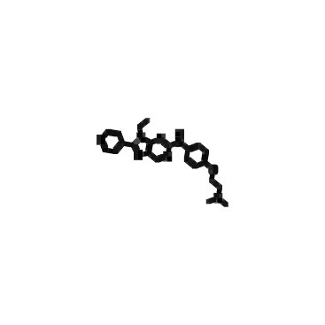 CCn1c(-c2ccncc2)nc2cnc(Nc3ccc(OCCN(C)C)cc3)nc21